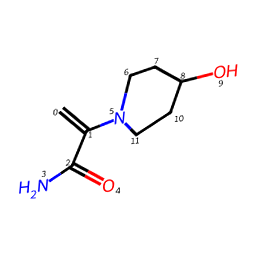 C=C(C(N)=O)N1CCC(O)CC1